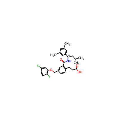 Cc1cc(C)cc([C@@H](CC(C)C)NC(=O)c2cc(COc3cc(F)ccc3F)ccc2CCC(=O)O)c1